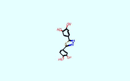 Oc1ccc(-c2nnc(-c3ccc(O)c(O)c3)s2)cc1O